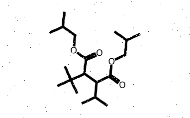 CC(C)COC(=O)C(C(C)C)C(C(=O)OCC(C)C)C(C)(C)C